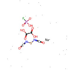 O=C(O)C(=O)O.O=C=NSN=C=O.O=P([O-])(O)F.[Na+]